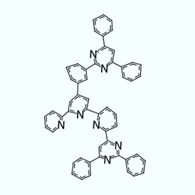 c1ccc(-c2cc(-c3ccccc3)nc(-c3cccc(-c4cc(-c5ccccn5)nc(-c5cccc(-c6cc(-c7ccccc7)nc(-c7ccccc7)n6)n5)c4)c3)n2)cc1